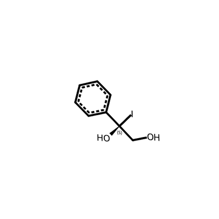 OC[C@@](O)(I)c1ccccc1